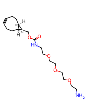 NCCOCCOCCOCCNC(=O)OC[C@@H]1[C@@H]2CCC#CCC[C@@H]21